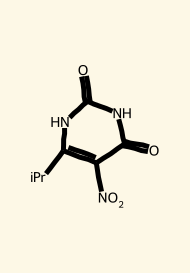 CC(C)c1[nH]c(=O)[nH]c(=O)c1[N+](=O)[O-]